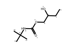 CCC(O)COC(=O)NC(C)(C)C